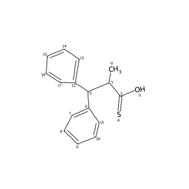 CC(C(O)=S)C(c1ccccc1)c1ccccc1